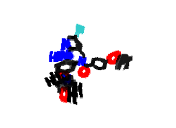 CC(C)OC1CCC(C(=O)N2Cc3cc(F)cnc3Nc3ccc(N4[C@@H]5CO[C@H]6[C@@H]5OC[C@@H]64)cc32)CC1